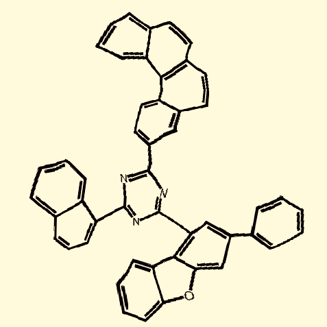 c1ccc(-c2cc(-c3nc(-c4ccc5c(ccc6ccc7ccccc7c65)c4)nc(-c4cccc5ccccc45)n3)c3c(c2)oc2ccccc23)cc1